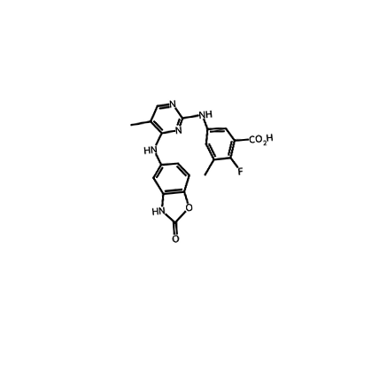 Cc1cnc(Nc2cc(C)c(F)c(C(=O)O)c2)nc1Nc1ccc2oc(=O)[nH]c2c1